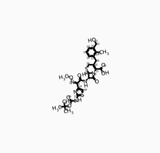 CO/N=C(\C(=O)N[C@@H]1C(=O)N2C(C(=O)O)=C(Cc3cccc(CO)c3C)CS[C@H]12)c1csc(NC(=O)OC(C)(C)C)n1